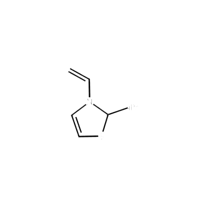 C=CN1C=CSC1[C](C)C